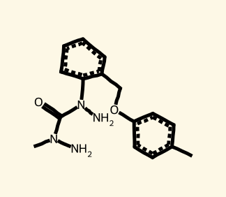 Cc1ccc(OCc2ccccc2N(N)C(=O)N(C)N)cc1